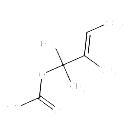 CCCC(=O)OC(C)(C)C(C)=CC(=O)O